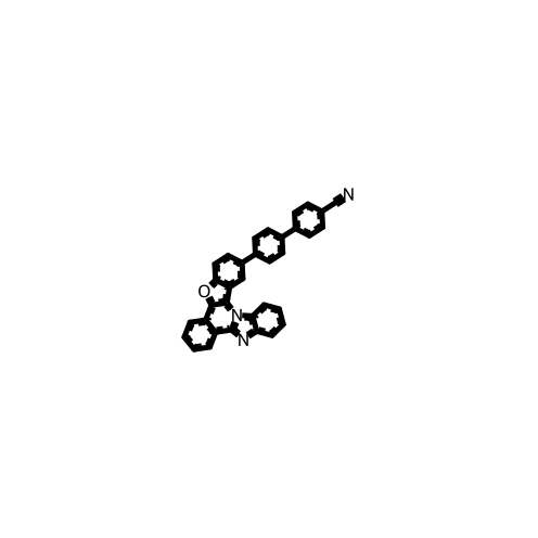 N#Cc1ccc(-c2ccc(-c3ccc4oc5c6ccccc6c6nc7ccccc7n6c5c4c3)cc2)cc1